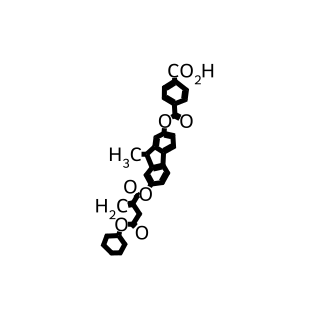 C=C(CC(=O)OC1CCCCC1)C(=O)Oc1ccc2c(c1)C(C)c1cc(OC(=O)c3ccc(C(=O)O)cc3)ccc1-2